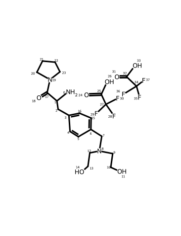 NC(Cc1ccc(CN(CCO)CCO)cc1)C(=O)N1CCCC1.O=C(O)C(F)(F)F.O=C(O)C(F)(F)F